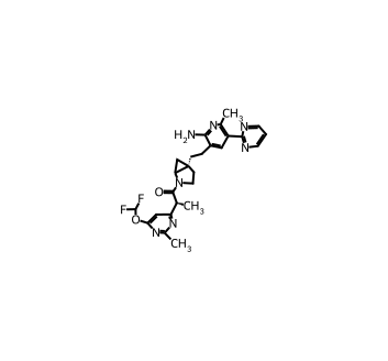 Cc1nc(OC(F)F)cc([C@H](C)C(=O)N2CC[C@]3(CCc4cc(-c5ncccn5)c(C)nc4N)CC23)n1